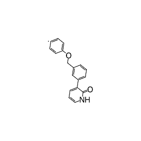 O=c1[nH]cccc1-c1cccc(COc2cc[c]cc2)c1